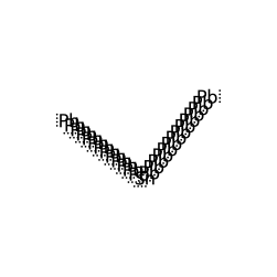 [Pb].[Pb].[Pb].[Pb].[Pb].[Pb].[Pb].[Pb].[Pb].[Pb].[Pb].[Pb].[Pb].[Pb].[Pb].[Pb].[Pb].[Pb].[Pb].[Pb].[Pb].[Pb].[Pb].[Pb].[Pb].[Pb].[Pb].[Sn]